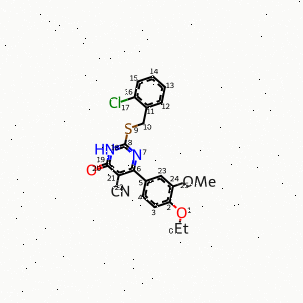 CCOc1ccc(-c2nc(SCc3ccccc3Cl)[nH]c(=O)c2C#N)cc1OC